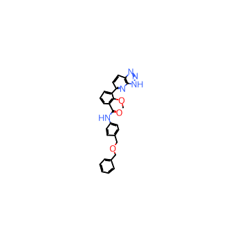 COc1c(C(=O)Nc2ccc(COCc3ccccc3)cc2)cccc1-c1ccc2nn[nH]c2n1